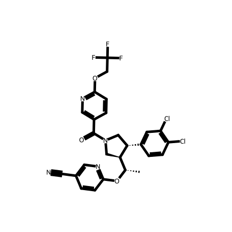 C[C@H](Oc1ccc(C#N)cn1)[C@H]1CN(C(=O)c2ccc(OCC(F)(F)F)nc2)C[C@@H]1c1ccc(Cl)c(Cl)c1